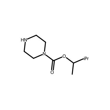 CC(C)C(C)OC(=O)N1CCNCC1